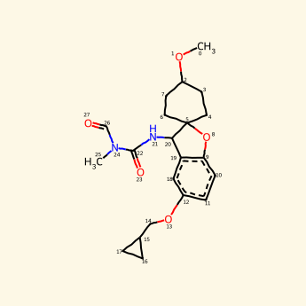 COC1CCC2(CC1)Oc1ccc(OCC3CC3)cc1C2NC(=O)N(C)C=O